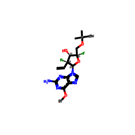 C=C[C@]1(F)[C@H](n2cnc3c(OCC)nc(N)nc32)O[C@](F)(CO[Si](C)(C)C(C)(C)C)[C@H]1O